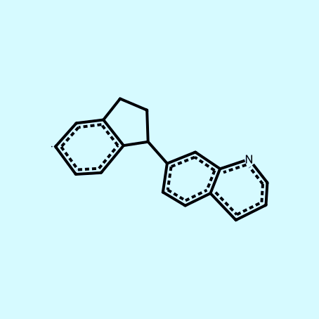 [c]1ccc2c(c1)CCC2c1ccc2cccnc2c1